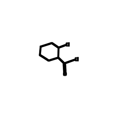 O=C(Cl)C1CCCCC1Cl